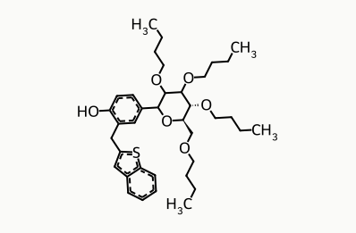 CCCCOC[C@H]1OC(c2ccc(O)c(Cc3cc4ccccc4s3)c2)C(OCCCC)C(OCCCC)[C@@H]1OCCCC